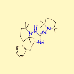 CC1(C)CCCC(C)(C)N1N=C(NCCc1ccccc1)NN1C(C)(C)CCCC1(C)C